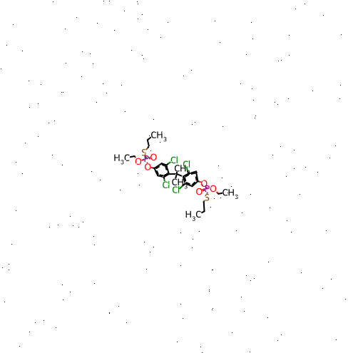 CCCSP(=O)(OCC)Oc1cc(Cl)c(C(C)(C)c2c(Cl)cc(OP(=O)(OCC)SCCC)cc2Cl)c(Cl)c1